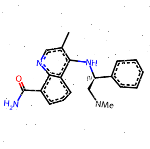 CNC[C@@H](Nc1c(C)cnc2c(C(N)=O)cccc12)c1ccccc1